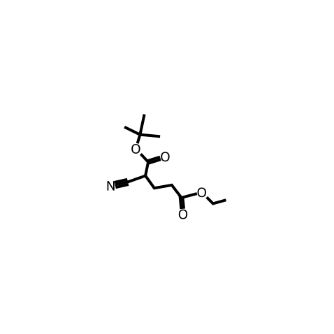 CCOC(=O)CCC(C#N)C(=O)OC(C)(C)C